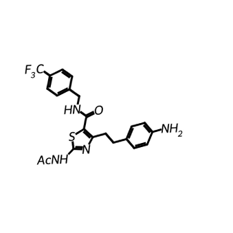 CC(=O)Nc1nc(CCc2ccc(N)cc2)c(C(=O)NCc2ccc(C(F)(F)F)cc2)s1